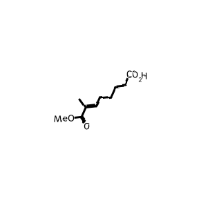 COC(=O)/C(C)=C/CCCCC(=O)O